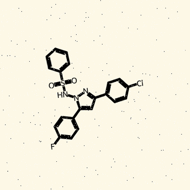 O=S(=O)(Nn1nc(-c2ccc(Cl)cc2)cc1-c1ccc(F)cc1)c1ccccc1